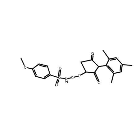 COc1ccc(S(=O)(=O)NCCC2CC(=O)C(c3c(C)cc(C)cc3C)C2=O)cc1